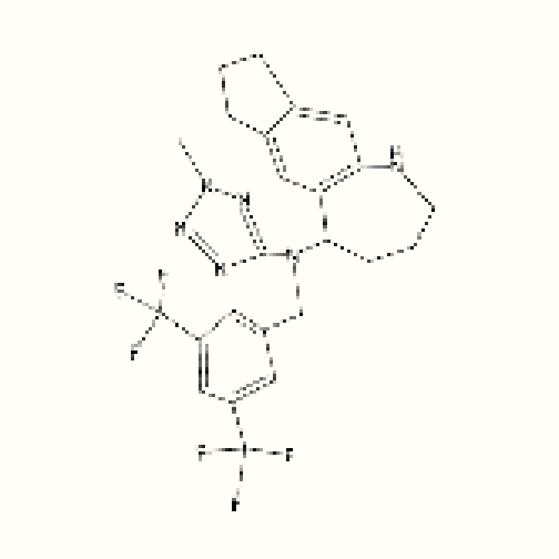 Cn1nnc(N(Cc2cc(C(F)(F)F)cc(C(F)(F)F)c2)C2CCCNc3cc4c(cc32)CCC4)n1